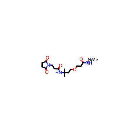 CNNC(=O)CCOCCC(C)(C)NC(=O)CCN1C(=O)C=CC1=O